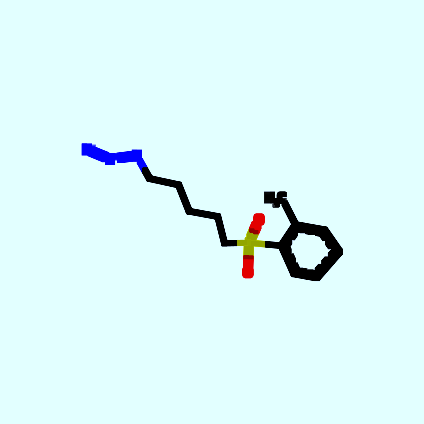 Cc1ccccc1S(=O)(=O)CCCCCN=[N+]=[N-]